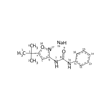 CC(C)(C)c1cc(NC(=O)Nc2c[c]ccc2)no1.[NaH]